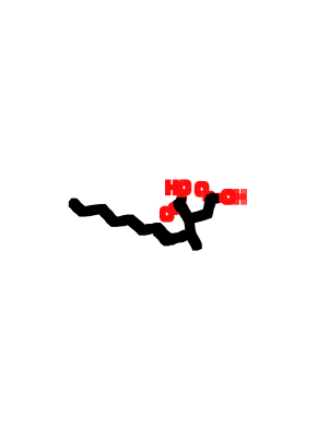 CCCCCC/C=C/C(C)C(CC(=O)O)C(=O)O